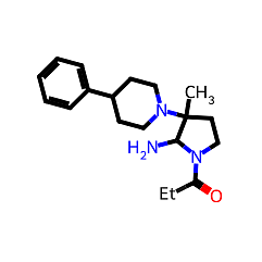 CCC(=O)N1CCC(C)(N2CCC(c3ccccc3)CC2)C1N